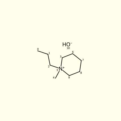 CCC[N+]1(C)CCCCC1.[OH-]